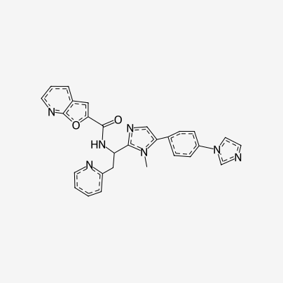 Cn1c(-c2ccc(-n3ccnc3)cc2)cnc1C(Cc1ccccn1)NC(=O)c1cc2cccnc2o1